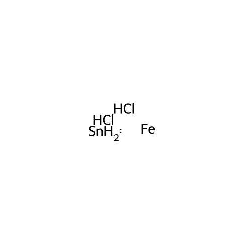 Cl.Cl.[Fe].[SnH2]